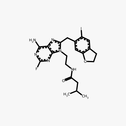 CC(C)CC(=O)NCCn1c(Cc2cc3c(cc2I)CCO3)nc2c(N)nc(F)nc21